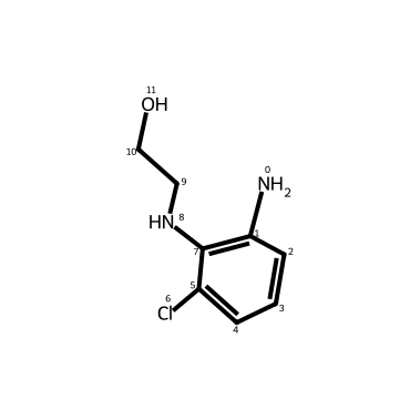 Nc1cccc(Cl)c1NCCO